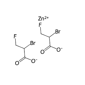 O=C([O-])C(Br)CF.O=C([O-])C(Br)CF.[Zn+2]